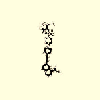 CC(C)C(NS(=O)(=O)N1CCN(c2ccc(C#Cc3ccc4cccc(C(N)=O)c4c3)cc2)CC1)C(=O)O